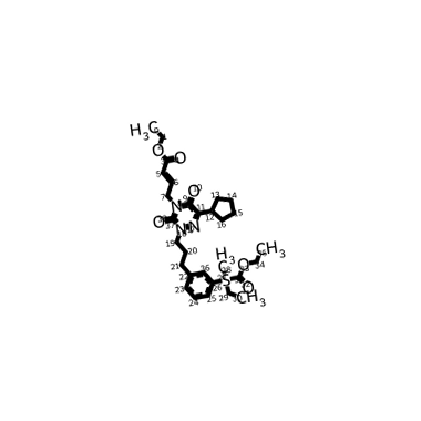 CCOC(=O)C=CCn1c(=O)c(C2CCCC2)nn(CCCc2cccc(S(C)(CC)C(=O)OCC)c2)c1=O